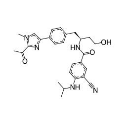 CC(=O)c1nc(-c2ccc(C[C@@H](CCO)NC(=O)c3ccc(NC(C)C)c(C#N)c3)cc2)cn1C